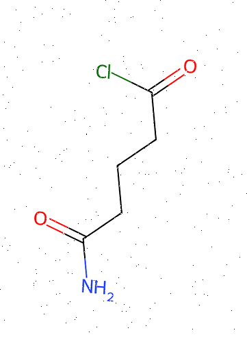 NC(=O)CCCC(=O)Cl